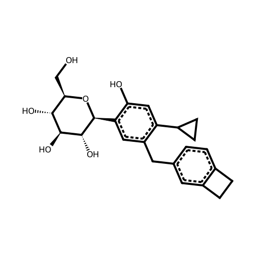 OC[C@H]1O[C@@H](c2cc(Cc3ccc4c(c3)CC4)c(C3CC3)cc2O)[C@H](O)[C@@H](O)[C@@H]1O